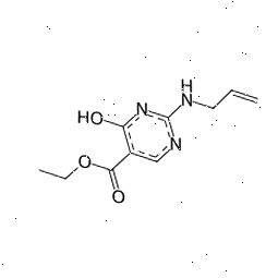 C=CCNc1ncc(C(=O)OCC)c(O)n1